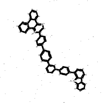 c1cc(-c2ccc(-c3ccc(-c4cnc5c6ccccc6c6ccccc6c5n4)cc3)cc2)cc(-c2ccc(-c3cccc4c3sc3ccccc34)cc2)c1